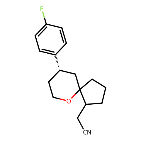 N#CCC1CCCC12C[C@@H](c1ccc(F)cc1)CCO2